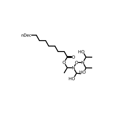 CCCCCCCCCCCCCCCCCC(=O)OC(C)N(ON(C(C)O)C(C)O)C(C)O